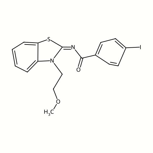 COCCn1c(=NC(=O)c2ccc(I)cc2)sc2ccccc21